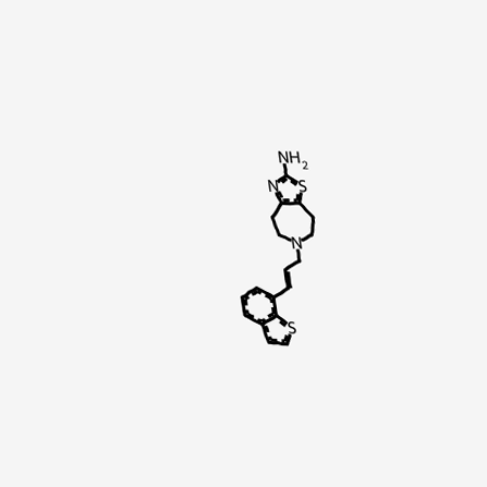 Nc1nc2c(s1)CCN(CC=Cc1cccc3ccsc13)CC2